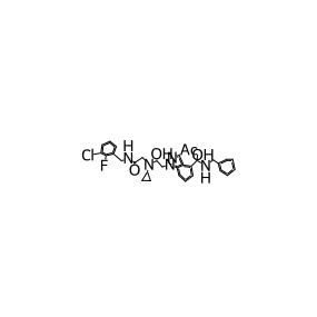 CC(=O)c1nn(CC(O)N(CC(=O)NCc2cccc(Cl)c2F)C2CC2)c2cccc(C(O)NCc3ccccc3)c12